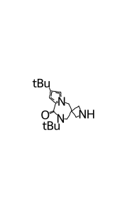 CC(C)(C)c1cc2n(c1)CC1(CNC1)CN(C(C)(C)C)C2=O